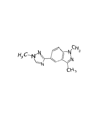 Cc1nn(C)c2ccc(-c3ncn(C)n3)cc12